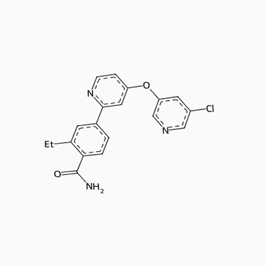 CCc1cc(-c2cc(Oc3cncc(Cl)c3)ccn2)ccc1C(N)=O